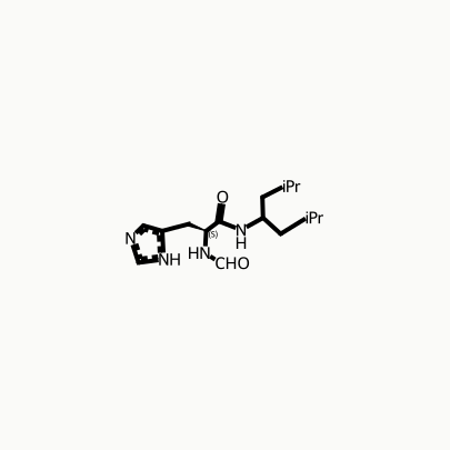 CC(C)CC(CC(C)C)NC(=O)[C@H](Cc1cnc[nH]1)NC=O